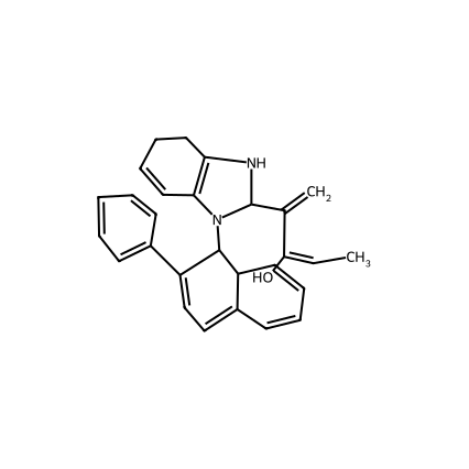 C=C(/C(O)=C\C)C1NC2=C(C=CCC2)N1C1C(c2ccccc2)=CC=C2C=CC=CC21